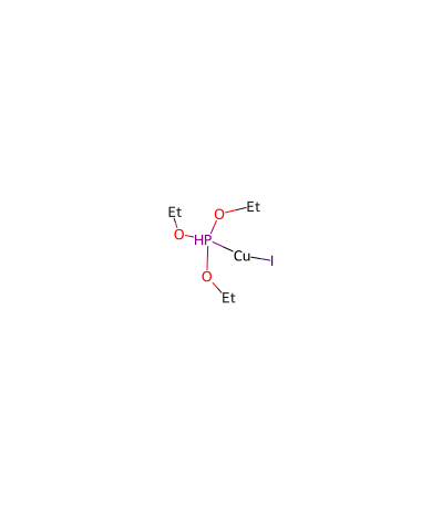 CCO[PH](OCC)(OCC)[Cu][I]